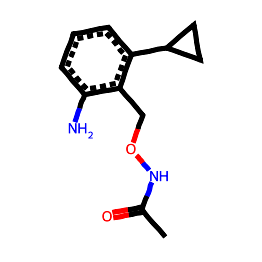 CC(=O)NOCc1c(N)cccc1C1CC1